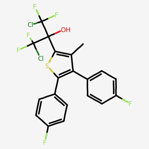 Cc1c(C(O)(C(F)(F)Cl)C(F)(F)Cl)sc(-c2ccc(F)cc2)c1-c1ccc(F)cc1